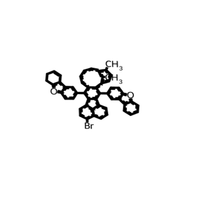 Cc1ccc2c(C)c1ccccc1c(-c3ccc4oc5c(c4c3)C=CCC5)c3c4ccc(Br)c5cccc(c3c(-c3ccc6oc7ccccc7c6c3)c21)c54